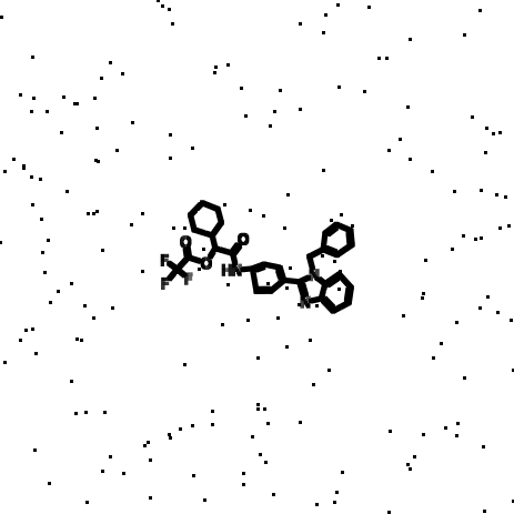 O=C(Nc1ccc(-c2nc3ccccc3n2Cc2ccccc2)cc1)C(OC(=O)C(F)(F)F)C1CCCCC1